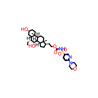 CC[C@H]1[C@@H](O)[C@@H]2[C@H](CC[C@]3(C)[C@@H](CCOC(=O)NS(=O)(=O)c4ccc(N5CCOCC5)nc4)CC[C@@H]23)[C@@]2(C)CC[C@@H](O)C[C@@H]12